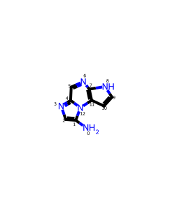 Nc1cnc2cnc3[nH]ccc3n12